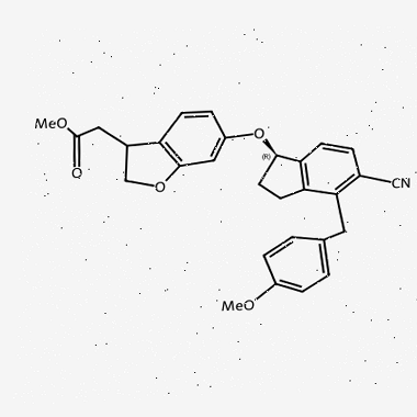 COC(=O)CC1COc2cc(O[C@@H]3CCc4c3ccc(C#N)c4Cc3ccc(OC)cc3)ccc21